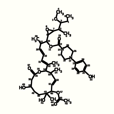 CCC(OC)C(C)C1OC1C(OC(=O)N1CCN(c2ccc(O)cc2)CC1)C(C)/C=C/C=C(\C)C1OC(=O)CC(O)CCC(C)(O)C(OC(C)=O)/C=C/C1C